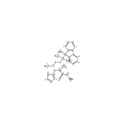 CC(CCC(C)(C)[Si](O)(c1ccccc1)c1ccccc1)[C@@H](c1ccco1)N(C)C(=O)OC(C)(C)C